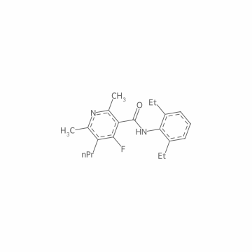 CCCc1c(C)nc(C)c(C(=O)Nc2c(CC)cccc2CC)c1F